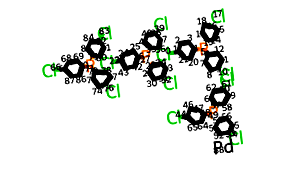 Clc1ccc(P(c2ccc(Cl)cc2)c2ccc(Cl)cc2)cc1.Clc1ccc(P(c2ccc(Cl)cc2)c2ccc(Cl)cc2)cc1.Clc1ccc(P(c2ccc(Cl)cc2)c2ccc(Cl)cc2)cc1.Clc1ccc(P(c2ccc(Cl)cc2)c2ccc(Cl)cc2)cc1.[Pd]